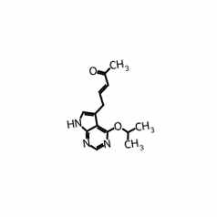 CC(=O)C=CCc1c[nH]c2ncnc(OC(C)C)c12